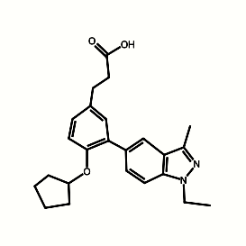 CCn1nc(C)c2cc(-c3cc(CCC(=O)O)ccc3OC3CCCC3)ccc21